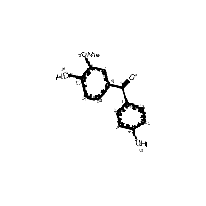 COc1cc(C(=O)c2ccc(O)cc2)ccc1O